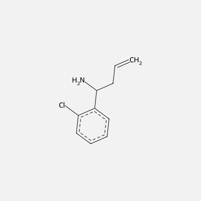 C=CCC(N)c1ccccc1Cl